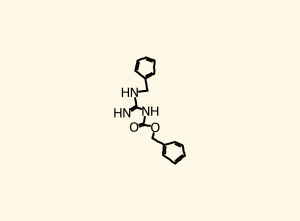 N=C(NCc1ccccc1)NC(=O)OCc1ccccc1